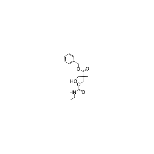 CCNC(=O)OCC(C)(CO)C(=O)OCc1ccccc1